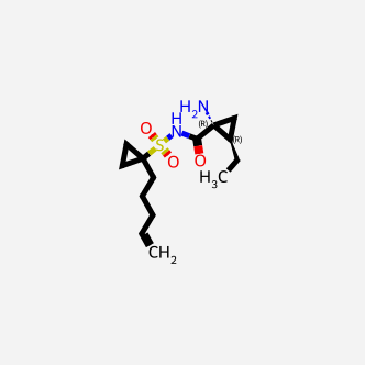 C=CCCCC1(S(=O)(=O)NC(=O)[C@@]2(N)C[C@H]2CC)CC1